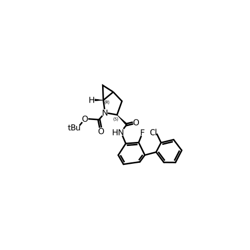 CC(C)(C)OC(=O)N1[C@@H]2CC2C[C@H]1C(=O)Nc1cccc(-c2ccccc2Cl)c1F